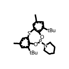 Cc1cc2c(c(C(C)(C)C)c1)OP(N1CCCCC1)Oc1c(cc(C)cc1C(C)(C)C)S2